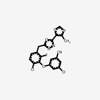 Cc1ncsc1-c1nnc(Cc2ccc(Cl)c(Oc3cc(Cl)cc(C#N)c3)c2F)o1